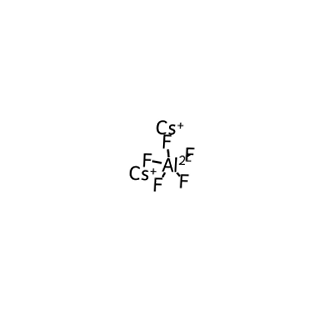 [Cs+].[Cs+].[F][Al-2]([F])([F])([F])[F]